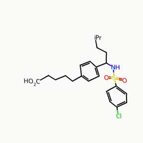 CC(C)CCC(NS(=O)(=O)c1ccc(Cl)cc1)c1ccc(CCCCC(=O)O)cc1